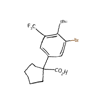 CC(C)(C)c1c(Br)cc(C2(C(=O)O)CCCC2)cc1C(F)(F)F